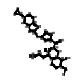 COc1ccc(/C(N)=C/NN)c(CNC(=O)c2cn(Cc3cn4cc(C5CC5)ccc4n3)nn2)c1F